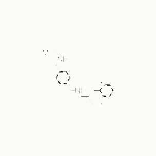 CSNCc1ccc(CNCC2COc3cccnc3O2)cc1